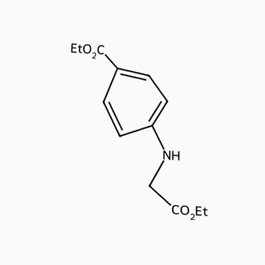 CCOC(=O)CNc1ccc(C(=O)OCC)cc1